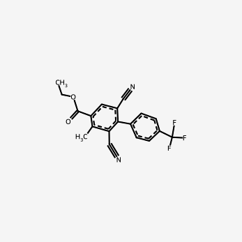 CCOC(=O)c1cc(C#N)c(-c2ccc(C(F)(F)F)cc2)c(C#N)c1C